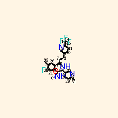 CNC(=O)[C@@H](N[C@H](CCc1ccc(C(F)(F)F)nc1)c1ccc(F)c(C)c1)c1ccc(C)nc1